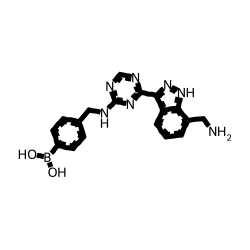 NCc1cccc2c(-c3ncnc(NCc4ccc(B(O)O)cc4)n3)n[nH]c12